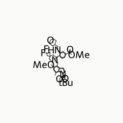 COC(=O)c1ccc(C2CC3(CCN2Cc2c(OC)cc(C)c4c2ccn4C(=O)OC(C)(C)C)CC(F)(F)C3)c(NCC2CCOCC2)c1